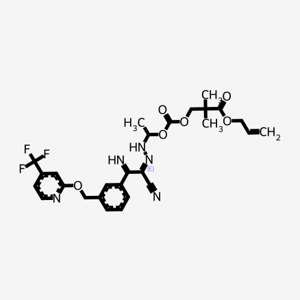 C=CCOC(=O)C(C)(C)COC(=O)OC(C)N/N=C(/C#N)C(=N)c1cccc(COc2cc(C(F)(F)F)ccn2)c1